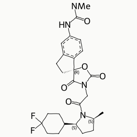 CNC(=O)Nc1ccc2c(c1)CC[C@@]21OC(=O)N(CC(=O)N2[C@@H](C)CC[C@H]2C2CCC(F)(F)CC2)C1=O